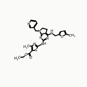 CCOC(=O)c1sc(Nc2nc(NCc3ccc(C)o3)c3c(n2)N(Cc2cccnc2)CC3)nc1C